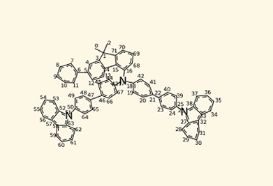 CC1(C)c2cc(-c3ccccc3)ccc2-c2c(N(c3ccc(-c4ccc(-n5c6ccccc6c6ccccc65)cc4)cc3)c3ccc(-c4ccc(-n5c6ccccc6c6ccccc65)cc4)cc3)cccc21